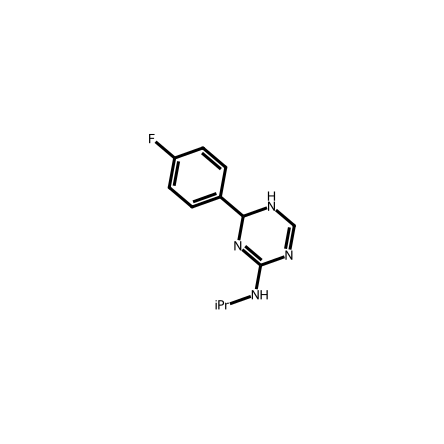 CC(C)NC1=NC(c2ccc(F)cc2)NC=N1